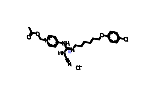 CC(=O)OC[n+]1ccc(N/C(=N\CCCCCCOc2ccc(Cl)cc2)NC#N)cc1.[Cl-]